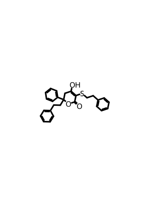 O=C1OC(CCc2ccccc2)(c2ccccc2)CC(O)=C1SCCc1ccccc1